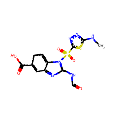 CNc1nnc(S(=O)(=O)N2C3=CCC(C(=O)O)=CC3=NC2NC=O)s1